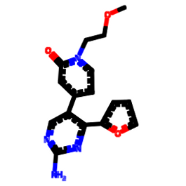 COCCn1ccc(-c2cnc(N)nc2-c2ccco2)cc1=O